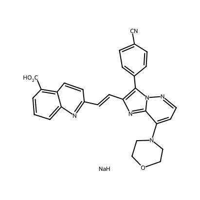 N#Cc1ccc(-c2c(/C=C/c3ccc4c(C(=O)O)cccc4n3)nc3c(N4CCOCC4)ccnn23)cc1.[NaH]